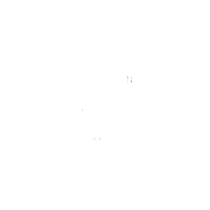 C=CC(=O)OCCC(C)N(C)C